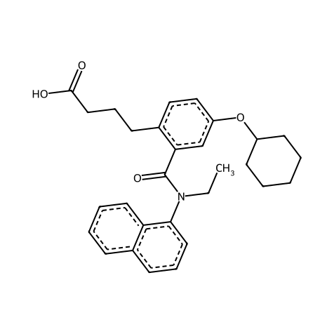 CCN(C(=O)c1cc(OC2CCCCC2)ccc1CCCC(=O)O)c1cccc2ccccc12